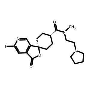 CN(CCN1CCCC1)C(=O)[C@H]1CC[C@]2(CC1)OC(=O)c1cc(F)ncc12